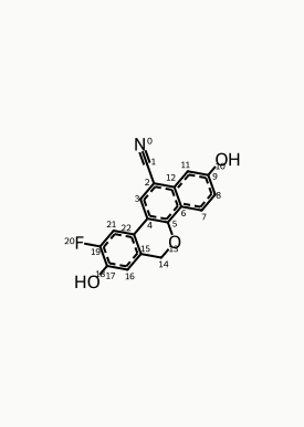 N#Cc1cc2c(c3ccc(O)cc13)OCc1cc(O)c(F)cc1-2